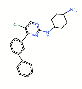 NC1CCC(Nc2ncc(Cl)c(-c3cccc(-c4ccccc4)c3)n2)CC1